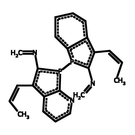 C=Nc1c(/C=C\C)c2ccccc2p1-p1c(N=C)c(/C=C\C)c2cccnc21